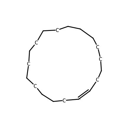 [C]1=C\CCCCCCCCCCCCCCCCC/1